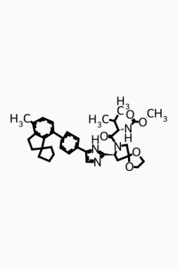 COC(=O)N[C@H](C(=O)N1CC2(C[C@H]1c1ncc(-c3ccc(-c4ccc(C)c5c4C4(CCCC4)CC5)cc3)[nH]1)OCCO2)C(C)C